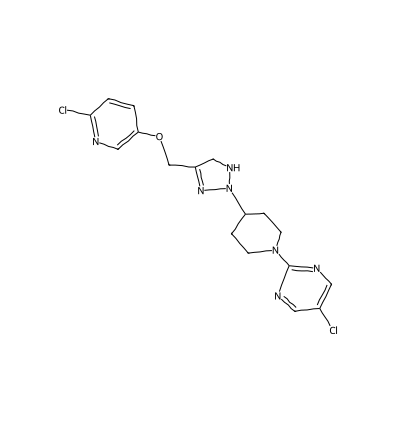 Clc1cnc(N2CCC(N3N=C(COc4ccc(Cl)nc4)CN3)CC2)nc1